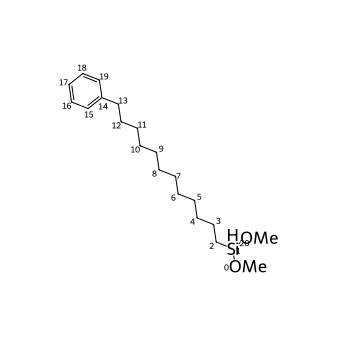 CO[SiH](CCCCCCCCCCCCc1ccccc1)OC